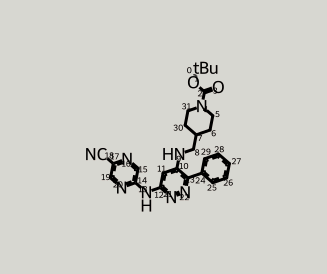 CC(C)(C)OC(=O)N1CCC(CNc2cc(Nc3cnc(C#N)cn3)nnc2-c2ccccc2)CC1